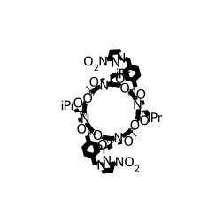 CC(C)C[C@H]1C(=O)O[C@H](Cc2ccc(Cn3ccc([N+](=O)[O-])n3)cc2)C(=O)N(C)[C@@H](CC(C)C)C(=O)O[C@H](C)C(=O)N(C)[C@@H](CC(C)C)C(=O)O[C@H](Cc2ccc(Cn3ccc([N+](=O)[O-])n3)cc2)C(=O)N(C)[C@@H](CC(C)C)C(=O)O[C@H](C)C(=O)N1C